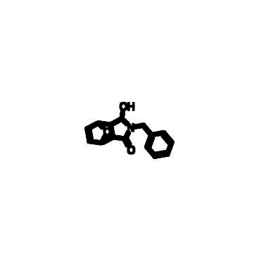 O=C1C2C3C=CC(O3)C2C(O)N1Cc1ccccc1